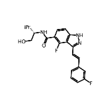 CC(C)[C@@H](CO)NC(=O)c1ccc2[nH]nc(/C=C/c3cccc(F)c3)c2c1F